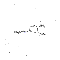 COc1cc(/C=C/C(=O)O)ccc1N